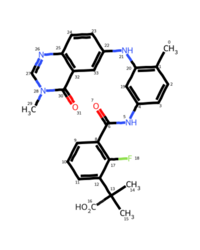 Cc1ccc(NC(=O)c2cccc(C(C)(C)C(=O)O)c2F)cc1Nc1ccc2ncn(C)c(=O)c2c1